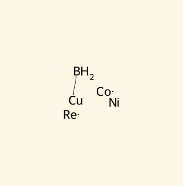 [BH2][Cu].[Co].[Ni].[Re]